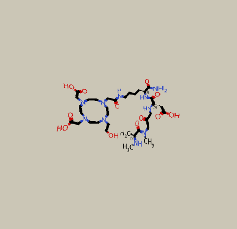 CN[C@@H](C)C(=O)N(C)CC(=O)CN[C@@H](CC(=O)O)C(=O)N[C@@H](CCCCNC(=O)CN1CCN(CCO)CCN(CC(=O)O)CCN(CC(=O)O)CC1)C(N)=O